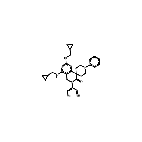 N=C/C(=C\O)N1Cc2c(NCC3CC3)nc(NCC3CC3)nc2C2(CCN(c3ccccc3)CC2)C1=O